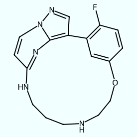 Fc1ccc2cc1-c1cnn3ccc(nc13)NCCCNCCO2